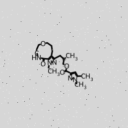 CCn1nc(C[C@@H](C)COC(=O)c2cc(C)n(C)n2)c2c1C(=O)NCCCOCCC2